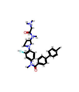 Cc1ccc(-c2ccc(C(=O)N(C)c3ccc(N4CCC(N(C)C(=O)CN(C)C)C4)c(F)c3)cc2)cc1